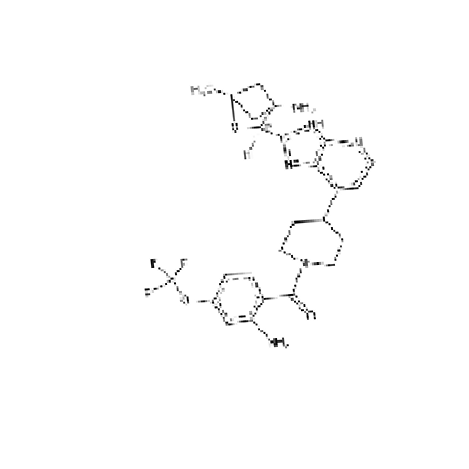 CC12CC(N)(C1)[C@@H](c1nc3c(C4CCN(C(=O)c5ccc(OC(F)(F)F)cc5N)CC4)ccnc3[nH]1)O2